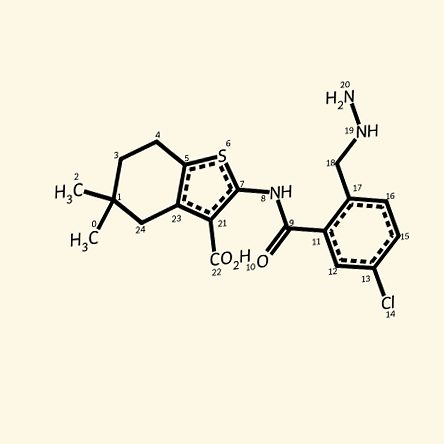 CC1(C)CCc2sc(NC(=O)c3cc(Cl)ccc3CNN)c(C(=O)O)c2C1